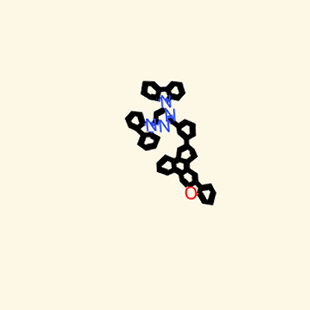 c1cc(-c2ccc3c(c2)c2ccccc2c2cc4oc5ccccc5c4cc32)cc(-c2nc(-n3c4ccccc4c4ccccc43)cc(-n3c4ccccc4c4ccccc43)n2)c1